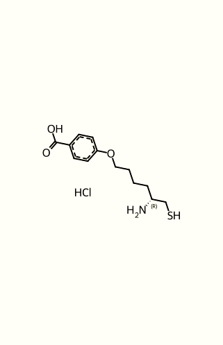 Cl.N[C@@H](CS)CCCCOc1ccc(C(=O)O)cc1